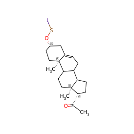 CC(=O)[C@H]1CCC2C3CC=C4C[C@@H](OSI)CC[C@]4(C)C3CC[C@@]21C